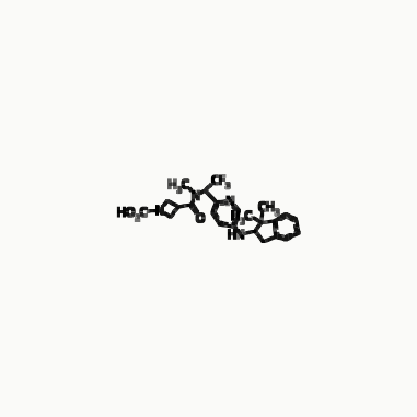 CN(C(=O)C1CN(C(=O)O)C1)C(c1ccc(NC2Cc3ccccc3C2(C)C)cn1)C(F)(F)F